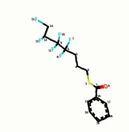 O=C(SCCCC(F)(F)C(F)(F)C(F)CF)c1ccccc1